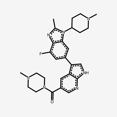 Cc1nc2c(F)cc(-c3c[nH]c4ncc(C(=O)N5CCN(C)CC5)cc34)cc2n1C1CCN(C)CC1